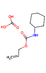 C=CCOC(=O)NC1CCCCC1.O=C(O)O